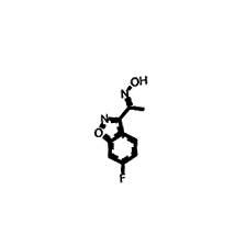 C/C(=N\O)c1noc2cc(F)ccc12